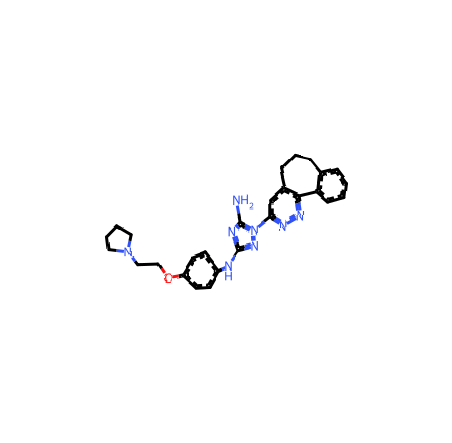 Nc1nc(Nc2ccc(OCCN3CCCC3)cc2)nn1-c1cc2c(nn1)-c1ccccc1CCC2